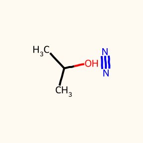 CC(C)O.N#N